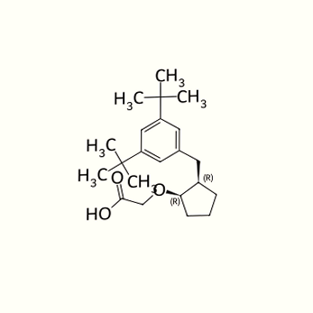 CC(C)(C)c1cc(C[C@H]2CCC[C@H]2OCC(=O)O)cc(C(C)(C)C)c1